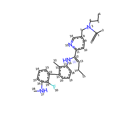 C=C(C)N(CCC)Cc1ccc(/C(=C/CC)Nc2cccc(-c3cccc(NC)c3F)c2C)nc1